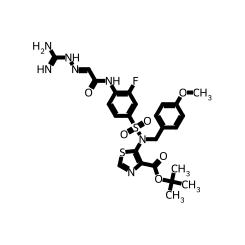 COc1ccc(CN(c2scnc2C(=O)OC(C)(C)C)S(=O)(=O)c2ccc(NC(=O)/C=N/NC(=N)N)c(F)c2)cc1